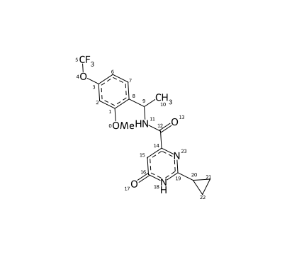 COc1cc(OC(F)(F)F)ccc1C(C)NC(=O)c1cc(=O)[nH]c(C2CC2)n1